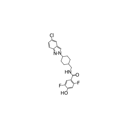 O=C(NCC1CCC(n2cc3cc(Cl)ccc3n2)CC1)c1cc(F)c(O)cc1F